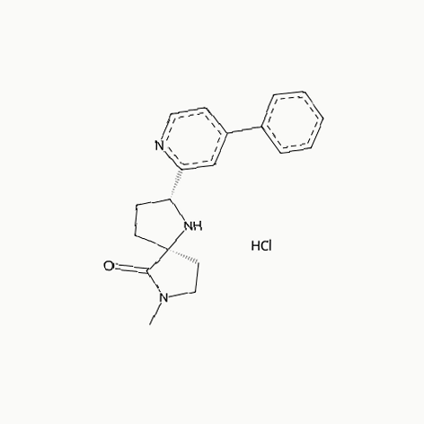 CN1CC[C@@]2(CC[C@H](c3cc(-c4ccccc4)ccn3)N2)C1=O.Cl